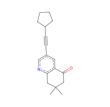 CC1(C)CC(=O)c2cc(C#CC3CCCC3)cnc2C1